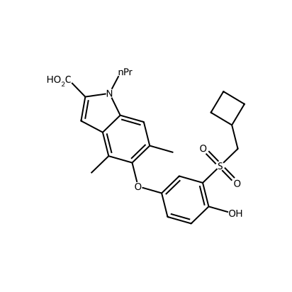 CCCn1c(C(=O)O)cc2c(C)c(Oc3ccc(O)c(S(=O)(=O)CC4CCC4)c3)c(C)cc21